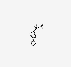 CN(C)C(=O)c1ccc(-n2c[c]cn2)cc1